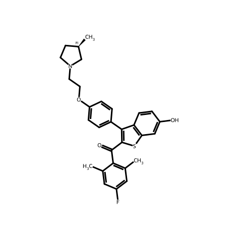 Cc1cc(F)cc(C)c1C(=O)c1sc2cc(O)ccc2c1-c1ccc(OCCN2CC[C@@H](C)C2)cc1